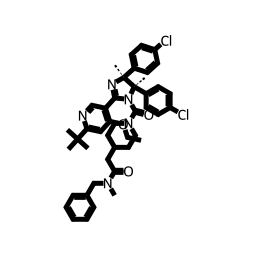 CCOc1cc(C(C)(C)C)ncc1C1=N[C@@](C)(c2ccc(Cl)cc2)[C@@](C)(c2ccc(Cl)cc2)N1C(=O)N1CCC(CC(=O)N(C)Cc2ccccc2)CC1